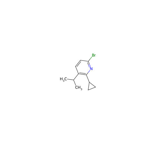 CC(C)c1ccc(Br)nc1C1CC1